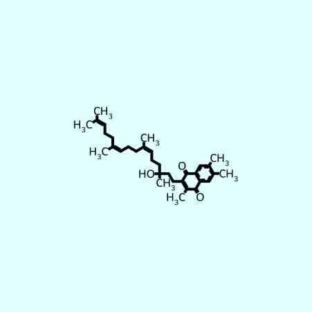 CC(C)=CCCC(C)=CCCC(C)=CCCC(C)(O)CCC1=C(C)C(=O)c2cc(C)c(C)cc2C1=O